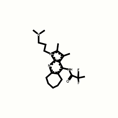 Cc1c(C)n(CCCN(C)C)c2nc3c(c(NC(=O)C(C)(F)F)c12)CCCCC3